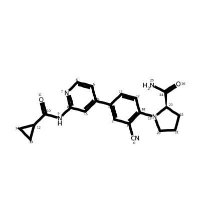 N#Cc1cc(-c2ccnc(NC(=O)C3CC3)c2)ccc1N1CCC[C@@H]1C(N)=O